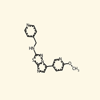 COc1ccc(-c2cnc3sc(NCc4ccncc4)nn23)cn1